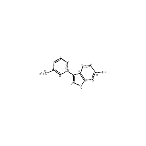 COc1[c]ccc(-c2noc3cc(F)ccc23)c1